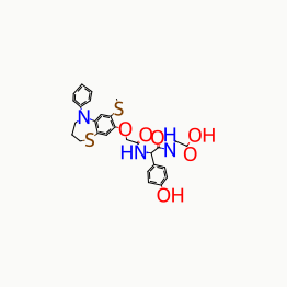 CSc1cc2c(cc1OCC(=O)N[C@@H](C(=O)NCC(=O)O)c1ccc(O)cc1)SCCCN2c1ccccc1